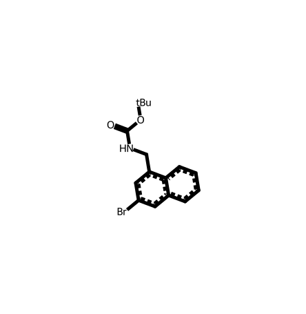 CC(C)(C)OC(=O)NCc1cc(Br)cc2ccccc12